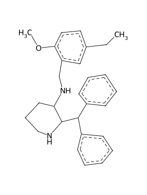 CCc1ccc(OC)c(CNC2CCCNC2C(c2ccccc2)c2ccccc2)c1